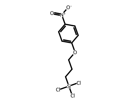 O=[N+]([O-])c1ccc(OCCC[Si](Cl)(Cl)Cl)cc1